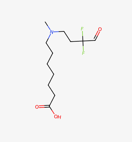 CN(CCCCCCC(=O)O)CCC(F)(F)C=O